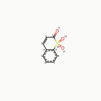 O=C1C=Cc2ccccc2S1(=O)=O